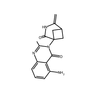 C=C1NC(=O)C2(n3c(C)nc4cccc(N)c4c3=O)CC1C2